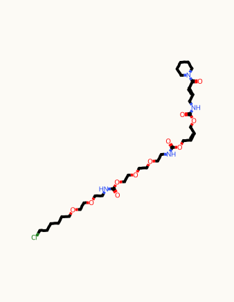 O=C(NC/C=C/C(=O)N1CCCCC1)OC/C=C\COC(=O)NCCOCCOCCOC(=O)NCCOCCOCCCCCCCl